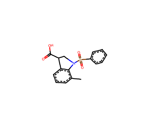 Cc1cccc2c1N(S(=O)(=O)c1ccccc1)CC2C(=O)O